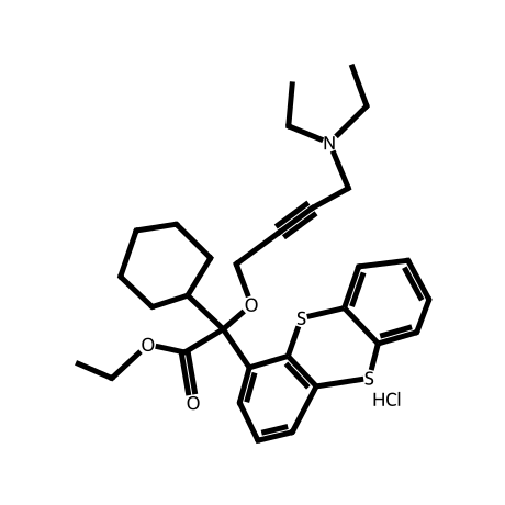 CCOC(=O)C(OCC#CCN(CC)CC)(c1cccc2c1Sc1ccccc1S2)C1CCCCC1.Cl